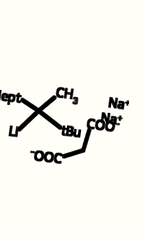 O=C([O-])CC(=O)[O-].[Li][C](C)(CCCCCCC)C(C)(C)C.[Na+].[Na+]